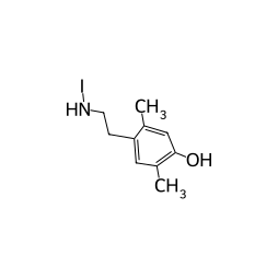 Cc1cc(CCNI)c(C)cc1O